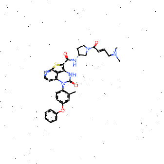 Cc1cc(Oc2ccccc2)ccc1N1C(=O)Nc2c(C(=O)N[C@@H]3CCN(C(=O)/C=C/CN(C)C)C3)sc3nccc1c23